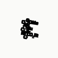 CCCCc1nc(C(=O)OC)c(Cl)n1Cc1ccc2nn(-c3ccccc3C(=O)OCC)c(Br)c2c1